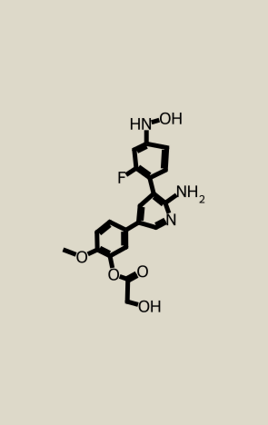 COc1ccc(-c2cnc(N)c(-c3ccc(NO)cc3F)c2)cc1OC(=O)CO